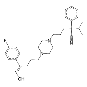 CC(C)C(C#N)(CCCN1CCN(CCC/C(=N\O)c2ccc(F)cc2)CC1)c1ccccc1